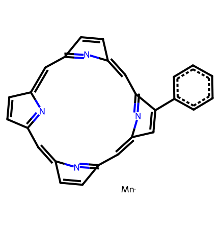 C1=CC2=NC1=CC1=NC(=CC3=NC(=CC4=NC(=C2)C=C4)C=C3c2ccccc2)C=C1.[Mn]